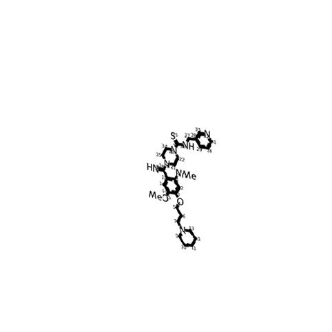 CNc1cc(OCCCN2CCCCC2)c(OC)cc1C(=N)N1CCN(C(=S)NCc2cccnc2)CC1